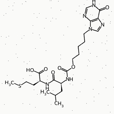 CSCC[C@H](NC(=O)[C@H](CC(C)C)NC(=O)OCCCCCn1cnc2c(=O)[nH]cnc21)C(=O)O